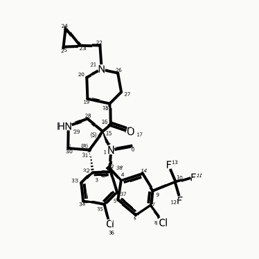 CN(C(=O)c1ccc(Cl)c(C(F)(F)F)c1)[C@]1(C(=O)C2CCN(CC3CC3)CC2)CNC[C@H]1c1ccc(Cl)cc1